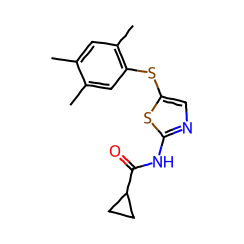 Cc1cc(C)c(Sc2cnc(NC(=O)C3CC3)s2)cc1C